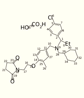 CCC(c1ccc(Cl)cc1)N(Cc1ccc(OCCN2C(=O)CCC2=O)c(C)c1)CC1CCCCC1.O=C(O)O